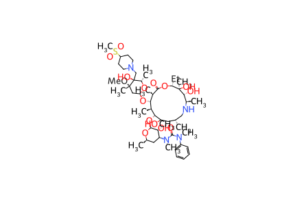 CC[C@H]1OC(=O)[C@H](C)[C@@H](O[C@H]2C[C@@](C)(OC)[C@](O)(CN3CCC(S(C)(=O)=O)CC3)[C@H](C)O2)[C@H](C)[C@@H](O[C@@H]2O[C@H](C)C[C@H](N(C)C(=O)N(C)c3ccccc3)[C@H]2O)[C@](C)(O)C[C@@H](C)CN[C@H](C)[C@@H](O)[C@]1(C)O